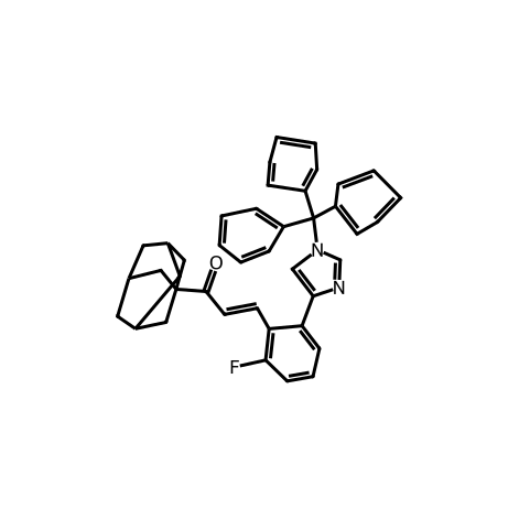 O=C(/C=C/c1c(F)cccc1-c1cn(C(c2ccccc2)(c2ccccc2)c2ccccc2)cn1)C12CC3CC(CC(C3)C1)C2